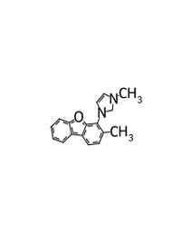 Cc1ccc2c(oc3ccccc32)c1N1C=CN(C)C1